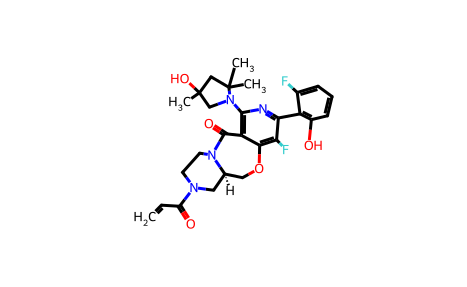 C=CC(=O)N1CCN2C(=O)c3c(N4CC(C)(O)CC4(C)C)nc(-c4c(O)cccc4F)c(F)c3OC[C@H]2C1